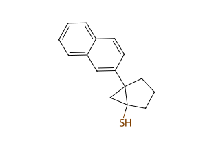 SC12CCCC1(c1ccc3ccccc3c1)C2